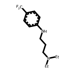 CCN(CC)CCCNc1ccc(C(F)(F)F)cc1